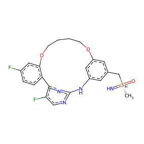 C[S@@](=N)(=O)Cc1cc2cc(c1)OCCCCOc1cc(F)ccc1-c1nc(ncc1F)N2